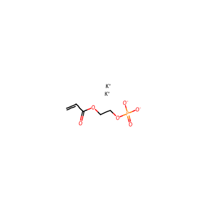 C=CC(=O)OCCOP(=O)([O-])[O-].[K+].[K+]